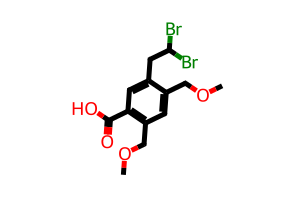 COCc1cc(COC)c(C(=O)O)cc1CC(Br)Br